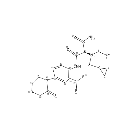 CC(C)CN(CC1CC1)[C@H](C(N)=O)C(=O)Nc1ccc(N2CCOCC2=O)cc1C(F)F